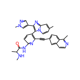 CNC(C)C(=O)Nc1ccc(-c2c(-c3cnn(C)c3)nc3cc(C)ccn23)c(C#Cc2ccc3c(C)nccc3c2)n1